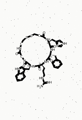 N=C(N)NCCC[C@@H]1NC(=O)[C@@H](Cc2ccccc2)NC(=O)[C@H](Cc2c[nH]cn2)NC(=O)CCSSCCNC(=O)CNC(=O)[C@H](Cc2c[nH]c3ccccc23)NC1=O